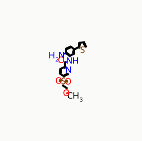 COCCS(=O)(=O)c1ccc(C(=O)Nc2cc(-c3cccs3)ccc2N)nc1